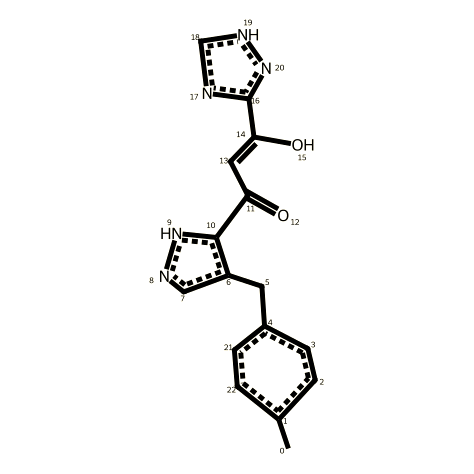 Cc1ccc(Cc2cn[nH]c2C(=O)C=C(O)c2nc[nH]n2)cc1